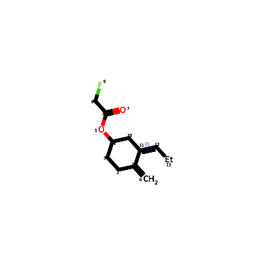 C=C1CCC(OC(=O)CF)C/C1=C/CC